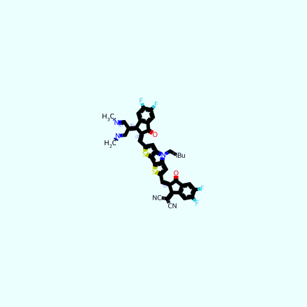 C=NCC(/C=N/C)=C1\C(=C\c2cc3c(s2)c2sc(/C=C4\C(=O)c5cc(F)c(F)cc5C4=C(C#N)C#N)cc2n3CC(C)CC)C(=O)c2cc(F)c(F)cc21